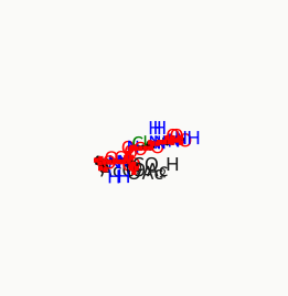 CC(=O)O[C@@H]1[C@@H](OC(C)=O)[C@H](Oc2ccc(COC(=O)N(C)CCOCCc3ccc(NC(=O)NCc4ccc5c(c4)CN(C4CCC(=O)NC4=O)C5=O)cc3Cl)cc2NC(=O)CCNC(=O)OCC2c3ccccc3-c3ccccc32)O[C@H](C(=O)O)[C@H]1OC(C)=O